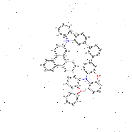 c1cc(-c2ccc3c(c2)Oc2ccccc2N3c2cccc3c2oc2ccccc23)cc(-c2ccc3c4ccccc4n(-c4ccc5c6ccccc6c6ccccc6c5c4)c3c2)c1